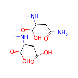 CN[C@@H](CC(=O)O)C(=O)O.CN[C@@H](CC(N)=O)C(=O)O